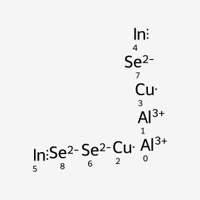 [Al+3].[Al+3].[Cu].[Cu].[In].[In].[Se-2].[Se-2].[Se-2]